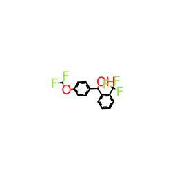 OC(c1ccc(OC(F)F)cc1)c1ccccc1C(F)(F)F